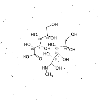 CNC(O)[C@H](O)[C@@H](O)[C@H](O)[C@H](O)CO.O=C(O)[C@H](O)[C@@H](O)[C@H](O)[C@H](O)CO